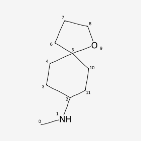 CNC1CCC2(CCCO2)CC1